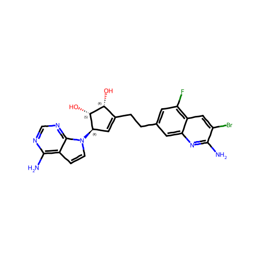 Nc1nc2cc(CCC3=C[C@@H](n4ccc5c(N)ncnc54)[C@H](O)[C@@H]3O)cc(F)c2cc1Br